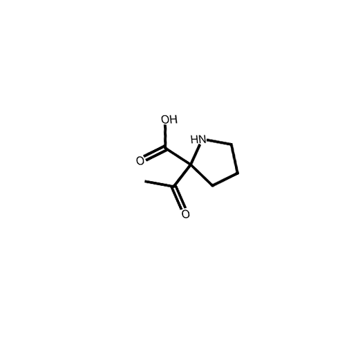 CC(=O)C1(C(=O)O)CCCN1